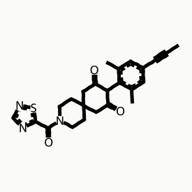 CC#Cc1cc(C)c(C2C(=O)CC3(CCN(C(=O)c4ncns4)CC3)CC2=O)c(C)c1